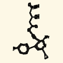 CC(C)c1nc(C2CC2)cc(-c2ccc(F)cc2)c1C#COC(=O)CC(O)C[PH](=O)O